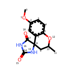 COc1ccc2c(c1)C1(CC(C)O2)NC(=O)NC1=O